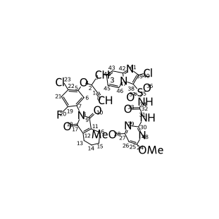 C#CC(C)Oc1cc(N2C(=O)C3=C(CCCC3)C2=O)c(F)cc1Cl.COc1cc(OC)nc(NC(=O)NS(=O)(=O)c2c(Cl)nc3ccccn23)n1